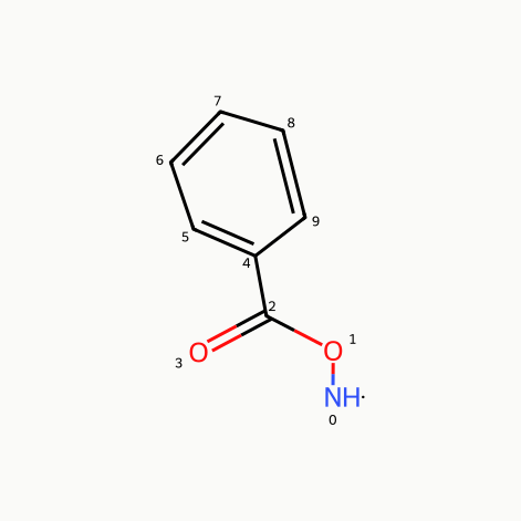 [NH]OC(=O)c1ccccc1